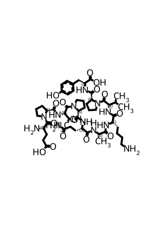 CC(C)[C@H](NC(=O)[C@H](CCCCN)NC(=O)[C@H](C)NC(=O)[C@H](CCC(N)=O)NC(=O)[C@@H]1CCCN1C(=O)[C@@H](NC(=O)[C@@H]1CCCN1C(=O)[C@@H](N)CCC(=O)O)C(C)C)C(=O)N1CCC[C@H]1C(=O)N[C@@H](Cc1ccc(O)cc1)C(=O)O